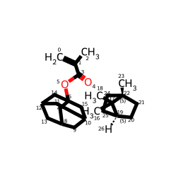 C=C(C)C(=O)OC12CC3CC(CC(C3)C1)C2.CC1(C)[C@H]2C[CH][C@@]1(C)CC2